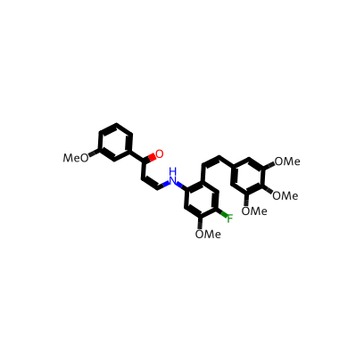 COc1cccc(C(=O)/C=C\Nc2cc(OC)c(F)cc2/C=C\c2cc(OC)c(OC)c(OC)c2)c1